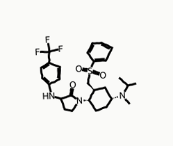 CC(C)N(C)[C@@H]1CC[C@H](N2CCC(Nc3ccc(C(F)(F)F)cc3)C2=O)[C@@H](CS(=O)(=O)c2ccccc2)C1